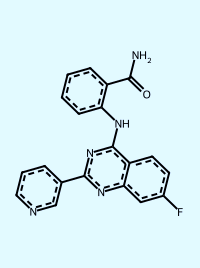 NC(=O)c1ccccc1Nc1nc(-c2cccnc2)nc2cc(F)ccc12